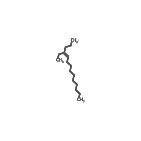 [CH2]CCC(=CCCCCCCCCC)CC